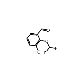 Cc1cccc(C=O)c1OC(F)F